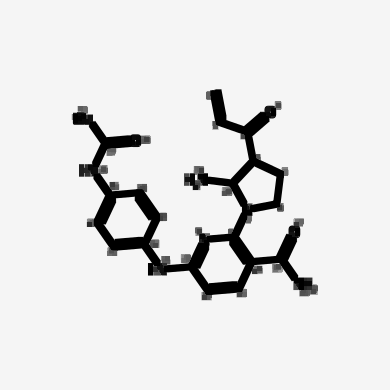 C=CC(=O)C1CCN(c2nc(Nc3ccc(NC(=O)C(C)(C)C)cc3)ccc2C(N)=O)C1N